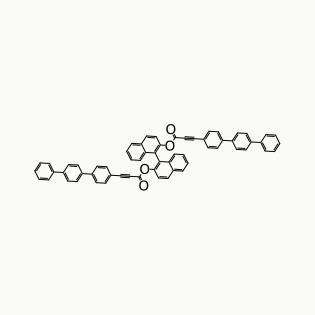 O=C(C#Cc1ccc(-c2ccc(-c3ccccc3)cc2)cc1)Oc1ccc2ccccc2c1-c1c(OC(=O)C#Cc2ccc(-c3ccc(-c4ccccc4)cc3)cc2)ccc2ccccc12